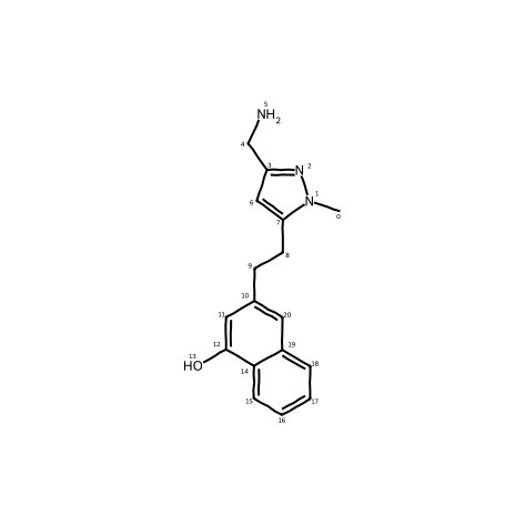 Cn1nc(CN)cc1CCc1cc(O)c2ccccc2c1